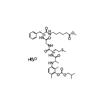 COC(=O)CCCCCNC(=O)[C@H](Cc1ccccc1)NC(=O)CNC(=O)[C@@H](CCSC)NC(=O)C(C)Nc1ccc(C)c(OC(=O)OCC(C)C)c1C.Cl.O